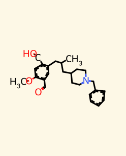 COc1cc(CO)c(CC(C)CC2CCN(Cc3ccccc3)CC2)cc1C=O